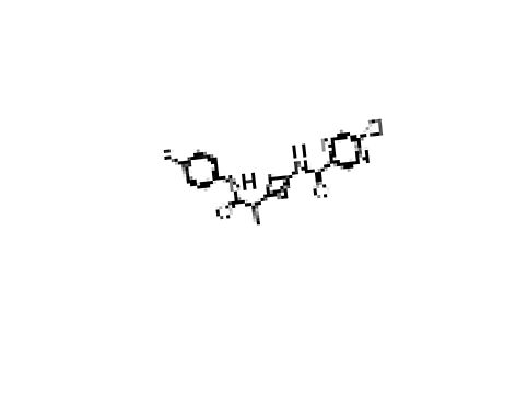 CC(C(=O)Nc1ccc(F)cc1)C12CC(NC(=O)c3cnc(Cl)cn3)(C1)C2